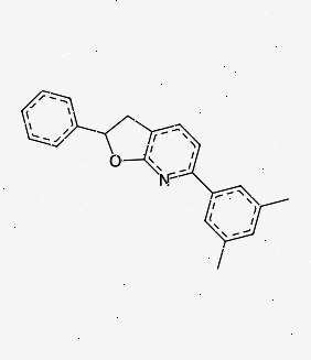 Cc1cc(C)cc(-c2ccc3c(n2)OC(c2ccccc2)C3)c1